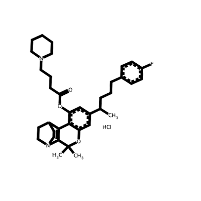 CC(CCCc1ccc(F)cc1)c1cc(OC(=O)CCCN2CCCCC2)c2c(c1)OC(C)(C)C1=C2C2CCN1CC2.Cl